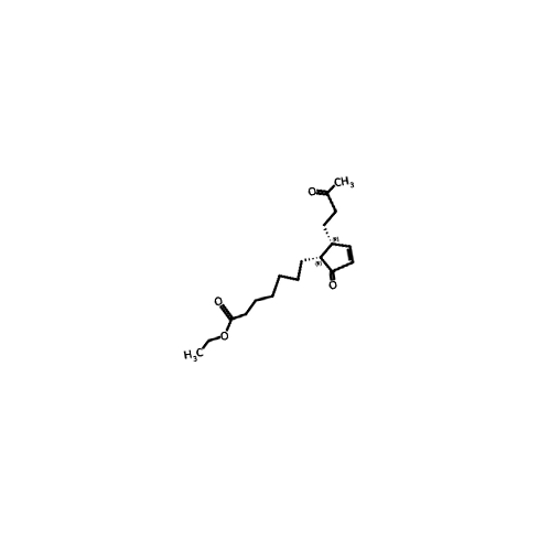 CCOC(=O)CCCCCC[C@H]1C(=O)C=C[C@H]1CCC(C)=O